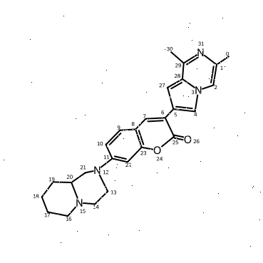 Cc1cn2cc(-c3cc4ccc(N5CCN6CCCCC6C5)cc4oc3=O)cc2c(C)n1